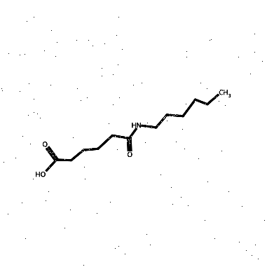 CCCCCCNC(=O)CCCCC(=O)O